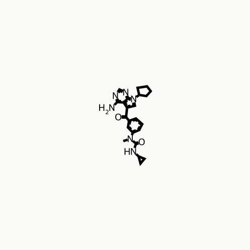 CN(C(=O)NC1CC1)c1cccc(C(=O)c2cn(C3CCCC3)c3ncnc(N)c23)c1